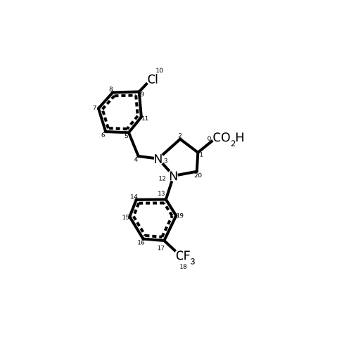 O=C(O)C1CN(Cc2cccc(Cl)c2)N(c2cccc(C(F)(F)F)c2)C1